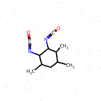 CC1CC(C)C(N=C=O)C(N=C=O)C1C